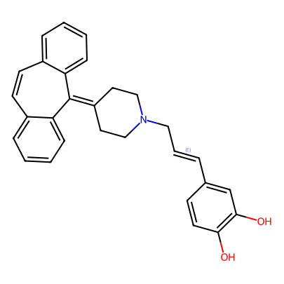 Oc1ccc(/C=C/CN2CCC(=C3c4ccccc4C=Cc4ccccc43)CC2)cc1O